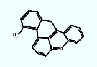 Cc1cccc2c1-c1cccc3nc4ccccc4c(c13)S2